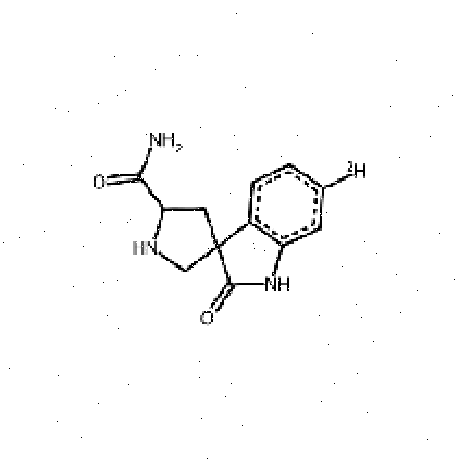 [2H]c1ccc2c(c1)NC(=O)C21CNC(C(N)=O)C1